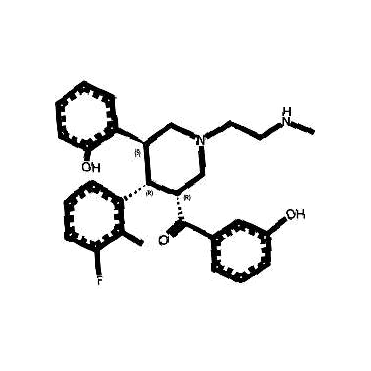 CNCCN1C[C@H](C(=O)c2cccc(O)c2)[C@H](c2cccc(F)c2C)[C@@H](c2[c]cccc2O)C1